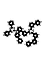 C1=CCC(c2ccc3c(c2)c2c(-c4cccc(-c5nc(-c6cccc(-c7ccccc7)c6)nc(-c6cccc(-c7cccc(-c8ccccc8)c7)c6)n5)c4)cccc2n3-c2nc(-c3ccccc3)nc(-c3ccccc3)n2)C=C1